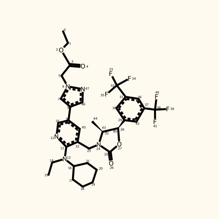 CCOC(=O)Cn1cc(-c2cnc(N(CC)C3CCCCC3)c(CN3C(=O)O[C@H](c4cc(C(F)(F)F)cc(C(F)(F)F)c4)[C@@H]3C)c2)cn1